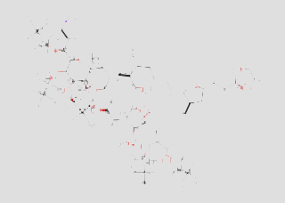 C=C1C[C@H](CCC2OCCO2)O[C@H]1CC[C@H]1C[C@H](C)C(=C)[C@@H](C[C@@H]2O[C@H](C[C@@H](CO[Si](C)(C)C(C)(C)C)O[Si](C)(C)C(C)(C)C)[C@@H](OC)[C@H]2CC(=O)C[C@H]2CC[C@@H]3O[C@H](C(/C=C/I)O[Si](C)(C)C(C)(C)C)C(O[Si](C)(C)C(C)(C)C)C(O[Si](C)(C)C(C)(C)C)[C@@H]3O2)O1